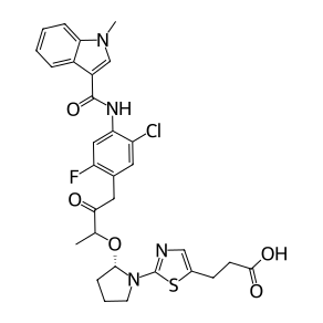 CC(O[C@H]1CCCN1c1ncc(CCC(=O)O)s1)C(=O)Cc1cc(Cl)c(NC(=O)c2cn(C)c3ccccc23)cc1F